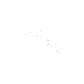 [2H]C1OC(c2ccc(Cl)cc2)=NN1[C@H]1CC[C@H](NC(=O)c2cc3cc(Cl)ccc3o2)CC1